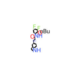 CCCCOc1c(NC(=O)/C=C/c2ccc3[nH]ccc3c2)ccc(F)c1F